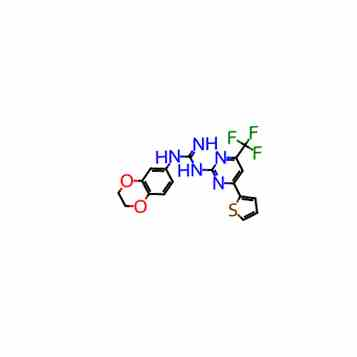 N=C(Nc1ccc2c(c1)OCCO2)Nc1nc(-c2cccs2)cc(C(F)(F)F)n1